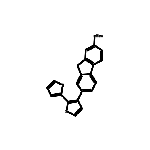 CCCCCCc1ccc2c(c1)Cc1cc(-c3ccsc3-c3cccs3)ccc1-2